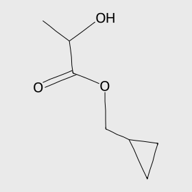 CC(O)C(=O)OCC1CC1